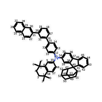 CC1(C)CCC(C)(C)c2cc(N(c3ccc(-c4cccc(-c5ccc6ccccc6c5)c4)cc3)c3ccc4c(c3)C3(c5ccccc5-4)C4CC5CC(C4)CC3C5)ccc21